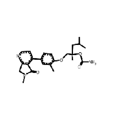 Cc1cc(-c2ccnc3c2C(=O)N(C)C3)ccc1OC[C@](C)(CC(C)C)OC(N)=O